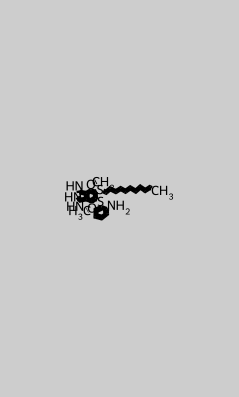 CCCCCCCCCCCSc1c(OC)c2c(c(OC)c1Sc1ccccc1N)C(=N)NC2=N